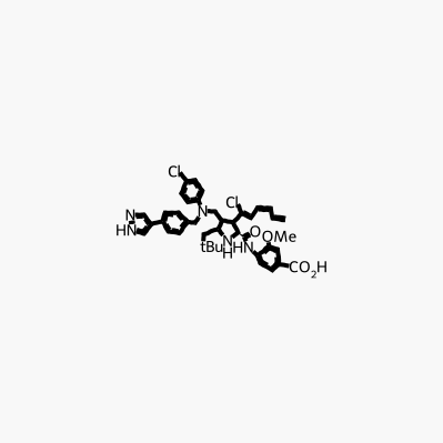 C=C/C=C\C=C(/Cl)C1C(CN(Cc2ccc(-c3cn[nH]c3)cc2)c2ccc(Cl)cc2)C(CC(C)(C)C)N[C@H]1C(=O)Nc1ccc(C(=O)O)cc1OC